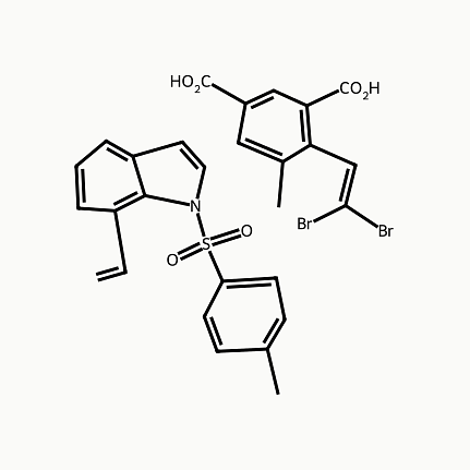 C=Cc1cccc2ccn(S(=O)(=O)c3ccc(C)cc3)c12.Cc1cc(C(=O)O)cc(C(=O)O)c1C=C(Br)Br